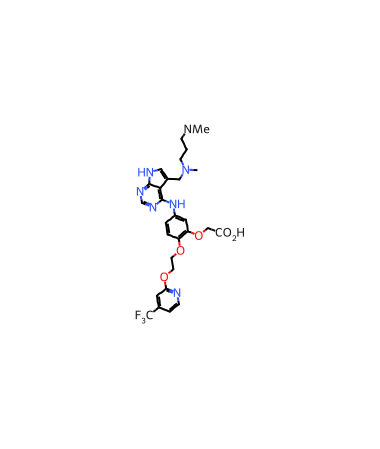 CNCCCN(C)Cc1c[nH]c2ncnc(Nc3ccc(OCCOc4cc(C(F)(F)F)ccn4)c(OCC(=O)O)c3)c12